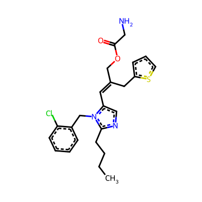 CCCCc1ncc(/C=C(/COC(=O)CN)Cc2cccs2)n1Cc1ccccc1Cl